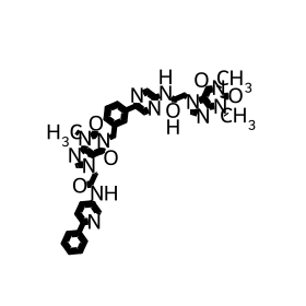 Cn1c(=O)c2c(ncn2CC(O)Nc2cnc(-c3cccc(Cn4c(=O)c5c(ncn5CC(=O)Nc5ccc(-c6ccccc6)nc5)n(C)c4=O)c3)cn2)n(C)c1=O